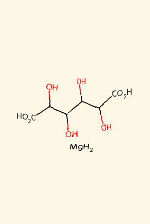 O=C(O)C(O)C(O)C(O)C(O)C(=O)O.[MgH2]